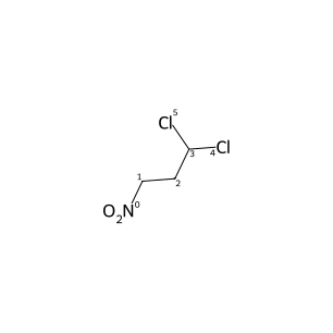 O=[N+]([O-])CCC(Cl)Cl